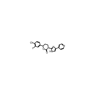 O=C1OC(c2ccc(Cl)c(F)c2)CCN1c1nc(-c2ccncc2)c[nH]1